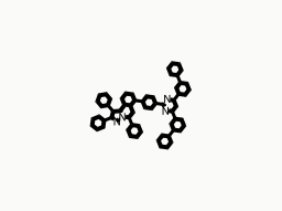 c1ccc(-c2cccc(-c3cc(-c4cccc(-c5ccccc5)c4)nc(-c4ccc(-c5cccc6c5cc(-c5ccccc5)n5nc(-c7ccccc7)c(-c7ccccc7)c65)cc4)n3)c2)cc1